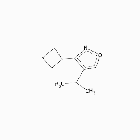 CC(C)c1conc1C1CCC1